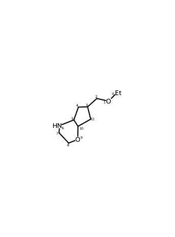 CCOCC1CC2NCCOC2C1